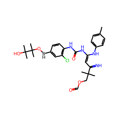 Cc1ccc(N/C(=C\C(=N)C(C)(C)COC=O)NC(=O)Nc2ccc(BOC(C)(C)C(C)(C)O)cc2Cl)cc1